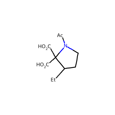 CCC1CCN(C(C)=O)C1(C(=O)O)C(=O)O